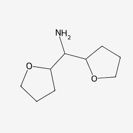 NC(C1CCCO1)C1CCCO1